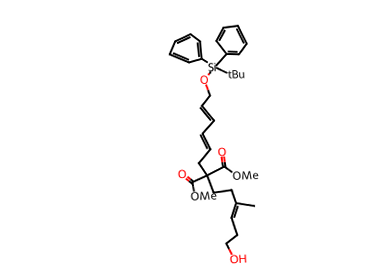 COC(=O)C(CC=CC=CCO[Si](c1ccccc1)(c1ccccc1)C(C)(C)C)(CCC(C)=CCCO)C(=O)OC